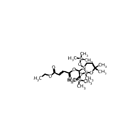 CCOC(=O)C=CC(=O)OC(CC)[Si]1(O[Si](C)(C)C)CCC(C)(C)O[Si]1(C)O[Si](C)(C)C